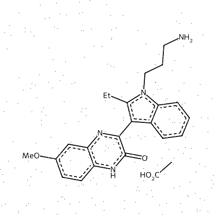 CC(=O)O.CCc1c(-c2nc3cc(OC)ccc3[nH]c2=O)c2ccccc2n1CCCN